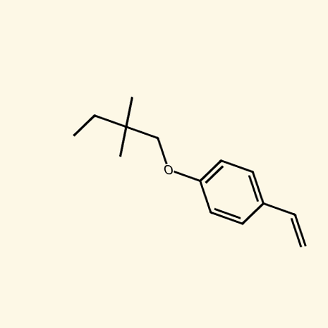 C=Cc1ccc(OCC(C)(C)CC)cc1